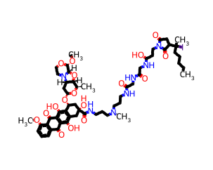 CCCCCC(C)(I)C1CC(=O)N(CCC(O)NCC(=O)NCC(=O)NCCCN(C)CCCNC(=O)[C@]2(O)Cc3c(O)c4c(c(O)c3[C@@H](O[C@H]3C[C@H]5[C@H](O[C@@H]6[C@@H](OC)OCCN65)[C@H](C)O3)C2)C(=O)c2c(OC)cccc2C4=O)C1=O